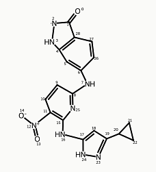 O=C1[N]Nc2cc(Nc3ccc([N+](=O)[O-])c(Nc4cc(C5CC5)n[nH]4)n3)ccc21